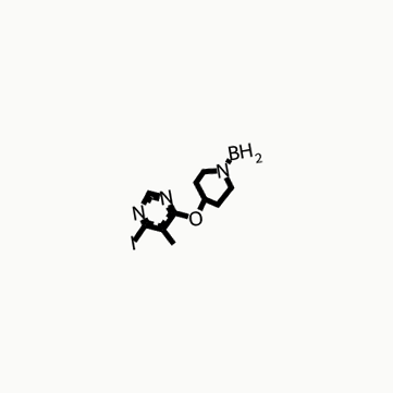 BN1CCC(Oc2ncnc(I)c2C)CC1